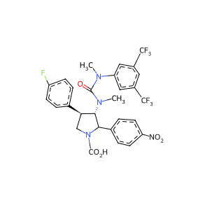 CN(C(=O)N(C)[C@@H]1C(c2ccc([N+](=O)[O-])cc2)N(C(=O)O)C[C@H]1c1ccc(F)cc1)c1cc(C(F)(F)F)cc(C(F)(F)F)c1